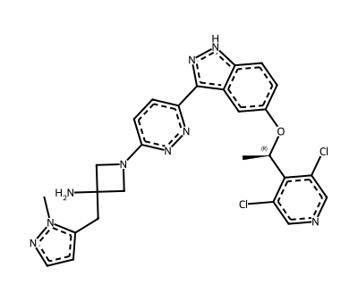 C[C@@H](Oc1ccc2[nH]nc(-c3ccc(N4CC(N)(Cc5ccnn5C)C4)nn3)c2c1)c1c(Cl)cncc1Cl